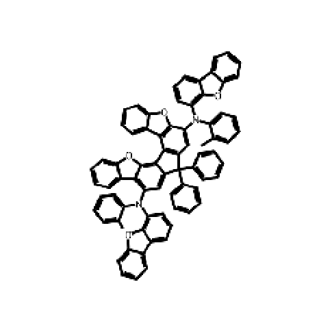 Cc1ccccc1N(c1cccc2c1oc1ccccc12)c1cc2c(c3c1oc1ccccc13)-c1c(cc(N(c3ccccc3C)c3cccc4c3oc3ccccc34)c3c1oc1ccccc13)C2(c1ccccc1)c1ccccc1